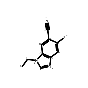 CCn1cnc2cc(F)c(C#N)cc21